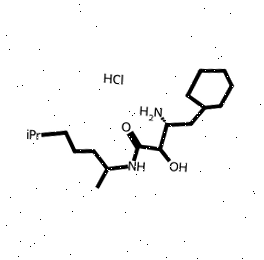 CC(C)CCCC(C)NC(=O)C(O)[C@H](N)CC1CCCCC1.Cl